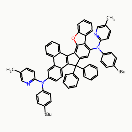 Cc1ccc(N(c2ccc(C(C)(C)C)cc2)c2ccc3c4c(c5ccccc5c3c2)-c2c(cc(N(c3ccc(C(C)(C)C)cc3)c3ccc(C)cn3)c3c2oc2ccccc23)C4(c2ccccc2)c2ccccc2)nc1